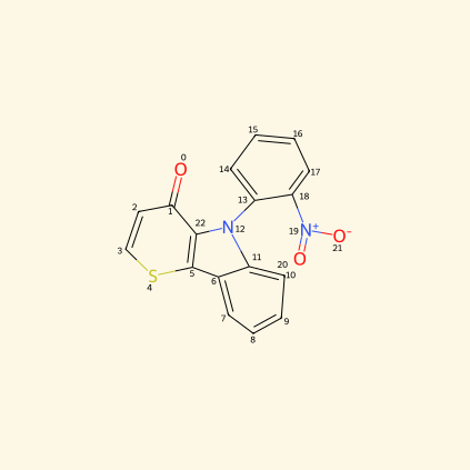 O=c1ccsc2c3ccccc3n(-c3ccccc3[N+](=O)[O-])c12